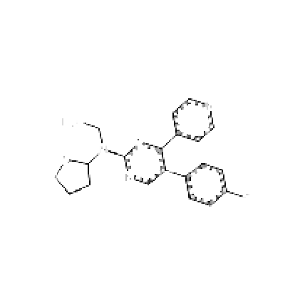 CCN(c1ncc(-c2ccc(F)cc2)c(-c2ccncc2)n1)C1CCCN1